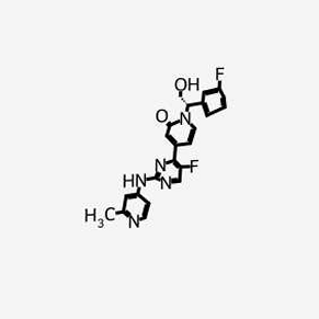 Cc1cc(Nc2ncc(F)c(-c3ccn([C@H](CO)c4cccc(F)c4)c(=O)c3)n2)ccn1